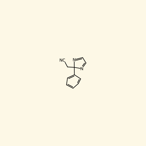 N#CCC1(c2ccccc2)N=CC=N1